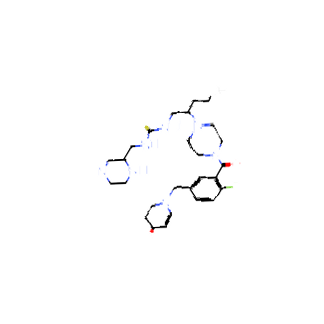 CCCC(CNC(=S)NCC1CNCCN1)N1CCN(C(=O)c2cc(CN3C=CC(=O)CC3)ccc2F)CC1